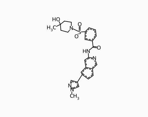 Cn1cc(-c2ccc3cnc(NC(=O)c4cccc(S(=O)(=O)N5CCC(C)(O)CC5)c4)cc3c2)cn1